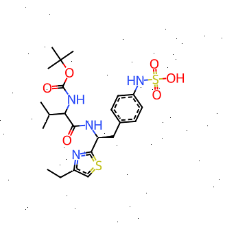 CCc1csc([C@H](Cc2ccc(NS(=O)(=O)O)cc2)NC(=O)C(NC(=O)OC(C)(C)C)C(C)C)n1